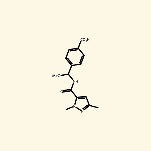 COC(NC(=O)c1cc(C)nn1C)c1ccc(C(=O)O)cc1